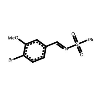 COc1cc(/C=N/S(=O)(=O)C(C)(C)C)ccc1Br